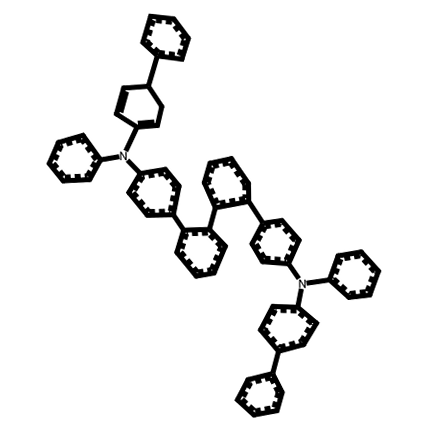 C1=CC(c2ccccc2)CC=C1N(c1ccccc1)c1ccc(-c2ccccc2-c2ccccc2-c2ccc(N(c3ccccc3)c3ccc(-c4ccccc4)cc3)cc2)cc1